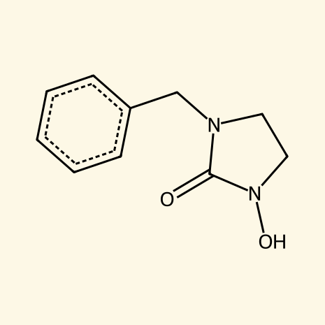 O=C1N(O)CCN1Cc1ccccc1